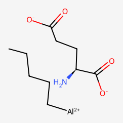 CCCC[CH2][Al+2].N[C@@H](CCC(=O)[O-])C(=O)[O-]